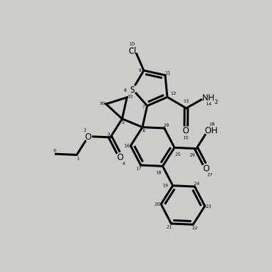 CCOC(=O)C1(C2(c3sc(Cl)cc3C(N)=O)C=CC(c3ccccc3)=C(C(=O)O)C2)CC1